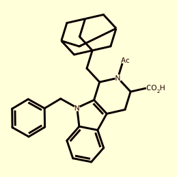 CC(=O)N1C(C(=O)O)Cc2c(n(Cc3ccccc3)c3ccccc23)C1CC12CC3CC(CC(C3)C1)C2